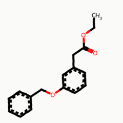 CCOC(=O)Cc1cccc(OCc2ccccc2)c1